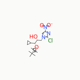 CC(C)(C)[Si](C)(C)O[C@H](C1CC1)[C@H](O)Cn1cc([N+](=O)[O-])nc1Cl